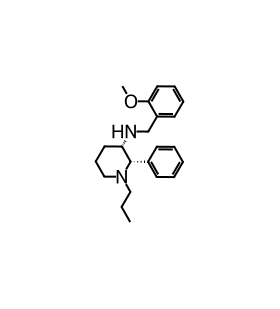 CCCN1CCC[C@H](NCc2ccccc2OC)[C@@H]1c1ccccc1